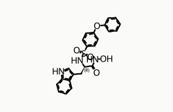 O=C(NO)[C@@H](Cc1c[nH]c2ccccc12)NS(=O)(=O)c1ccc(Oc2ccccc2)cc1